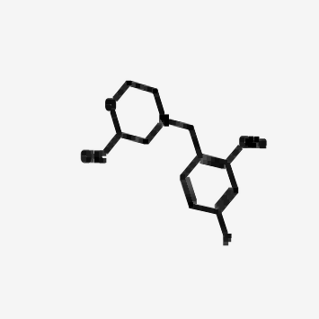 COc1cc(F)ccc1CN1CCOC(C=O)C1